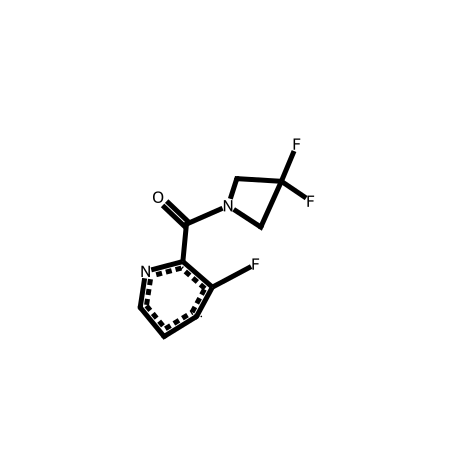 O=C(c1ncc[c]c1F)N1CC(F)(F)C1